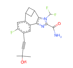 CC(C)(O)C#Cc1cc2c(cc1F)C1CC(C1)c1c-2nc(C(N)=O)n1C(F)F